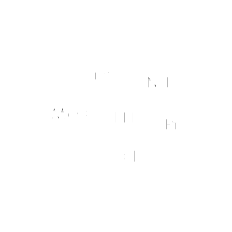 CC(C)NC(C)C.COPCl